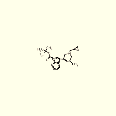 CC1C=C(c2cn(C(=O)OC(C)(C)C)c3ncccc23)CN(CC2CC2)C1